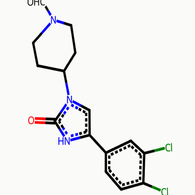 O=CN1CCC(n2cc(-c3ccc(Cl)c(Cl)c3)[nH]c2=O)CC1